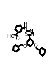 O=C(O)c1cccc(Nc2nnc(-c3cc(OCc4ccccc4)cc(OCc4ccccc4)c3)s2)c1